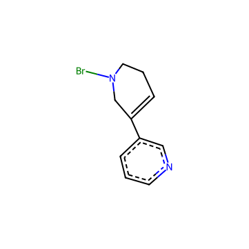 BrN1CCC=C(c2cccnc2)C1